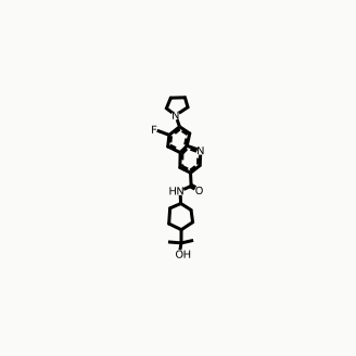 CC(C)(O)C1CCC(NC(=O)c2cnc3cc(N4CCCC4)c(F)cc3c2)CC1